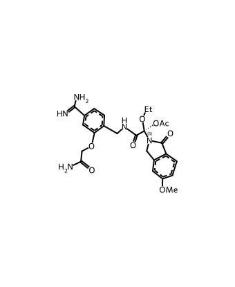 CCO[C@](OC(C)=O)(C(=O)NCc1ccc(C(=N)N)cc1OCC(N)=O)N1Cc2cc(OC)ccc2C1=O